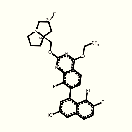 CCc1c(F)ccc2cc(O)cc(-c3ccc4c(OCC(F)(F)F)nc(OC[C@@]56CCCN5C[C@H](F)C6)nc4c3F)c12